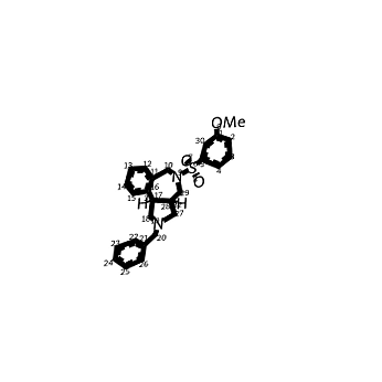 COc1cccc(S(=O)(=O)N2Cc3ccccc3[C@@H]3CN(Cc4ccccc4)C[C@H]3C2)c1